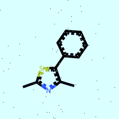 Cc1nc(C)c(-c2c[c]ccc2)s1